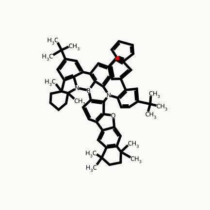 CC(C)(C)c1ccc(N2c3cc(-c4ccccc4)cc4c3B(c3ccc5c(oc6cc7c(cc65)C(C)(C)CCC7(C)C)c32)N2c3c-4cc(C(C)(C)C)cc3C3(C)CCCCC23C)c(-c2ccccc2)c1